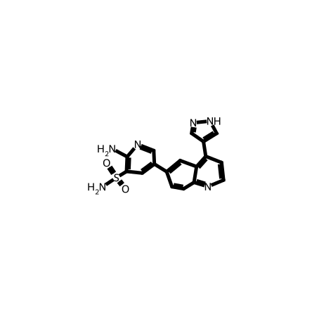 Nc1ncc(-c2ccc3nccc(-c4cn[nH]c4)c3c2)cc1S(N)(=O)=O